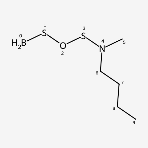 BSOSN(C)CCCC